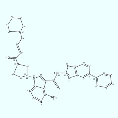 Nc1ncnc2c1c(C(=O)Nc1nc3cc(-c4ccccc4)ccc3o1)cn2[C@@H]1CCN(C(=O)C=CCN2CCCCC2)C1